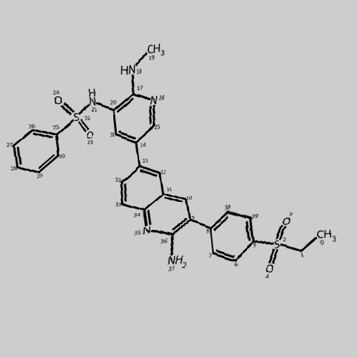 CCS(=O)(=O)c1ccc(-c2cc3cc(-c4cnc(NC)c(NS(=O)(=O)c5ccccc5)c4)ccc3nc2N)cc1